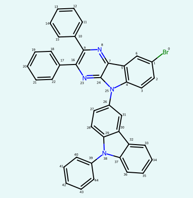 Brc1ccc2c(c1)c1nc(-c3ccccc3)c(-c3ccccc3)nc1n2-c1ccc2c(c1)c1ccccc1n2-c1ccccc1